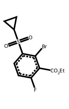 CCOC(=O)c1c(F)ccc(S(=O)(=O)C2CC2)c1Br